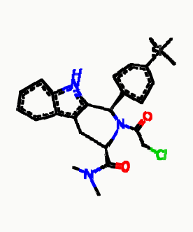 CN(C)C(=O)[C@H]1Cc2c([nH]c3ccccc23)[C@@H](c2ccc([Si](C)(C)C)cc2)N1C(=O)CCl